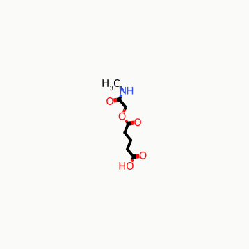 CNC(=O)COC(=O)CCCC(=O)O